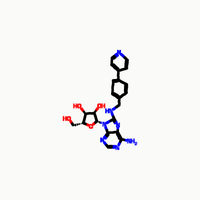 Nc1ncnc2c1nc(NCc1ccc(-c3ccncc3)cc1)n2[C@@H]1O[C@H](CO)[C@@H](O)[C@H]1O